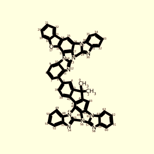 CC1(C)c2cc(-c3cccc4c3nc3n4c4c5oc6ccccc6c5cc5c4n3c3nc4ccccc4n53)ccc2-c2c1cc1c3c2n2c4ccccc4nc2n3c2nc3ccccc3n12